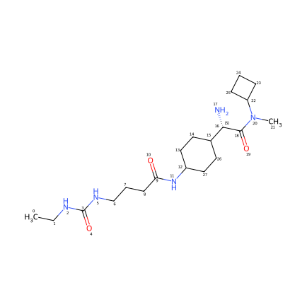 CCNC(=O)NCCCC(=O)NC1CCC([C@H](N)C(=O)N(C)C2CCC2)CC1